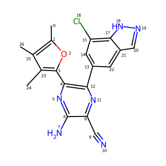 Cc1oc(-c2nc(N)c(C#N)nc2-c2cc(Cl)c3[nH]ncc3c2)c(C)c1C